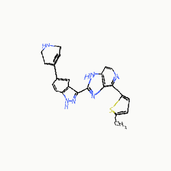 Cc1ccc(-c2nccc3[nH]c(-c4n[nH]c5ccc(C6=CCNCC6)cc45)nc23)s1